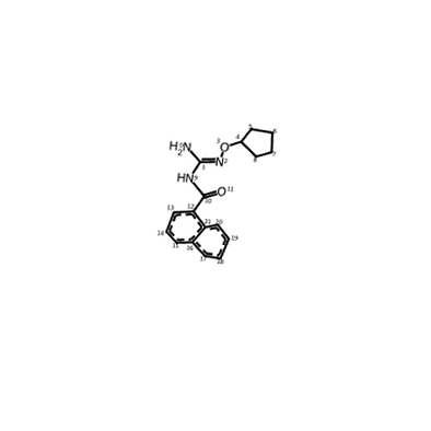 NC(=NOC1CCCC1)NC(=O)c1cccc2ccccc12